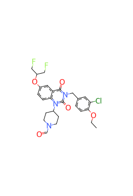 CCOc1ccc(Cn2c(=O)c3cc(OC(CF)CF)ccc3n(C3CCN(C=O)CC3)c2=O)cc1Cl